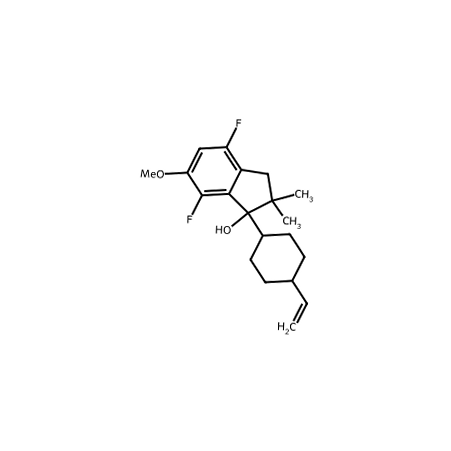 C=CC1CCC(C2(O)c3c(F)c(OC)cc(F)c3CC2(C)C)CC1